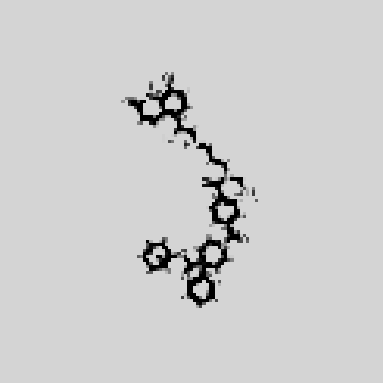 CCN(CCCNCC(O)c1ccc(O)c2[nH]c(=O)ccc12)C(=O)c1ccc(C(=O)N2CCC(C(=O)OC3CN4CCC3CC4)(c3ccccc3)CC2)cc1